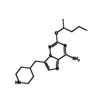 CCCC(C)Oc1nc(N)c2ncc(CC3CCNCC3)n2n1